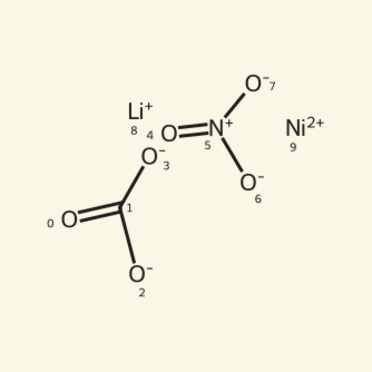 O=C([O-])[O-].O=[N+]([O-])[O-].[Li+].[Ni+2]